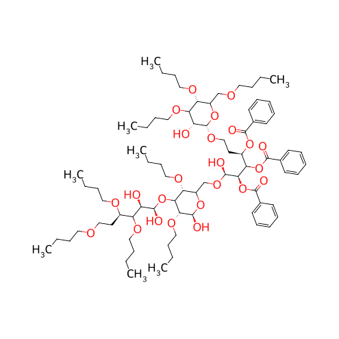 CCCCOCC[C@@H](OCCCC)C(OCCCC)[C@@H](O)[C@H](O)OC1[C@H](OCCCC)C(CO[C@@H](O)[C@H](OC(=O)c2ccccc2)C(OC(=O)c2ccccc2)[C@@H](CCO[C@H]2OC(COCCCC)[C@@H](OCCCC)C(OCCCC)[C@H]2O)OC(=O)c2ccccc2)O[C@@H](O)[C@@H]1OCCCC